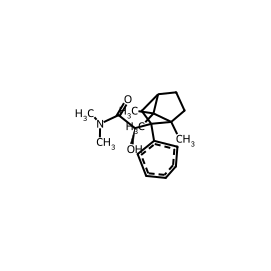 CN(C)C(=O)[C@H](O)C1(c2ccccc2)CC2CCC1(C)C2(C)C